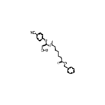 CN(CCCCCC(=O)OCc1ccccc1)S/C(=C\C=O)Oc1ccc(C#N)cc1